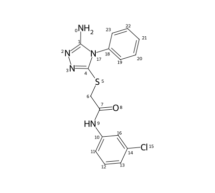 Nc1nnc(SCC(=O)Nc2cccc(Cl)c2)n1-c1ccccc1